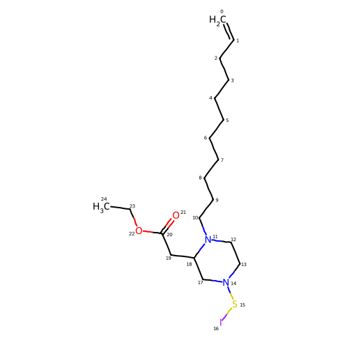 C=CCCCCCCCCCN1CCN(SI)CC1CC(=O)OCC